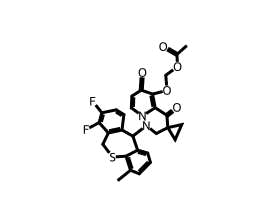 CC(=O)OCOc1c2n(ccc1=O)N(C1c3ccc(F)c(F)c3CSc3c(C)cccc31)CC1(CC1)C2=O